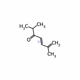 C=C(C)/C=C/C(=O)C(C)C